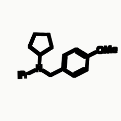 COc1ccc(CN(C(C)C)C2CCCC2)cc1